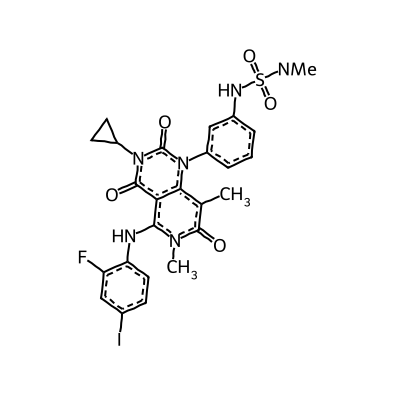 CNS(=O)(=O)Nc1cccc(-n2c(=O)n(C3CC3)c(=O)c3c(Nc4ccc(I)cc4F)n(C)c(=O)c(C)c32)c1